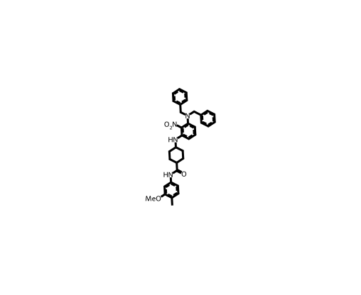 COc1cc(NC(=O)C2CCC(Nc3cccc(N(Cc4ccccc4)Cc4ccccc4)c3[N+](=O)[O-])CC2)ccc1C